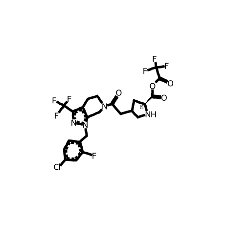 O=C(OC(=O)C(F)(F)F)[C@@H]1CC(CC(=O)N2CCc3c(C(F)(F)F)nn(Cc4ccc(Cl)cc4F)c3C2)CN1